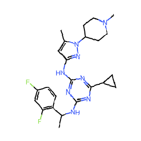 Cc1cc(Nc2nc(NC(C)c3ccc(F)cc3F)nc(C3CC3)n2)nn1C1CCN(C)CC1